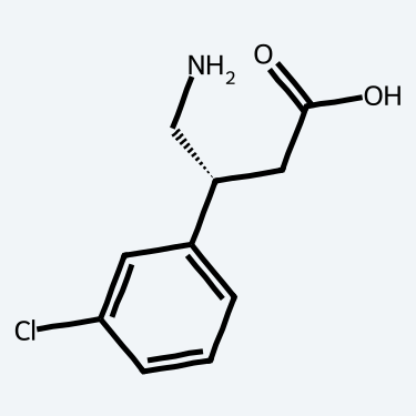 NC[C@H](CC(=O)O)c1cccc(Cl)c1